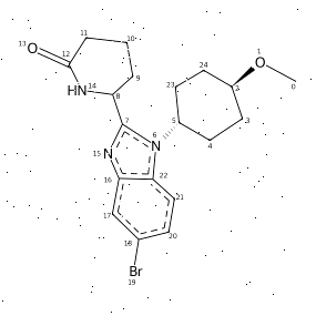 CO[C@H]1CC[C@H](n2c(C3CCCC(=O)N3)nc3cc(Br)ccc32)CC1